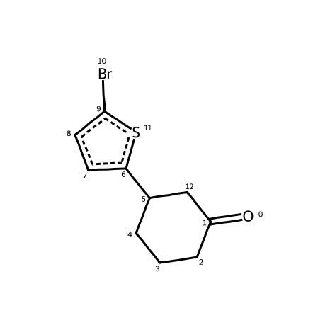 O=C1CCCC(c2ccc(Br)s2)C1